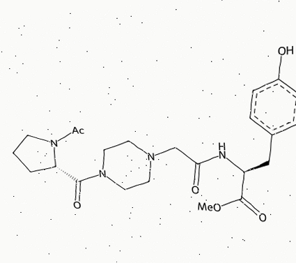 COC(=O)[C@H](Cc1ccc(O)cc1)NC(=O)CN1CCN(C(=O)[C@@H]2CCCN2C(C)=O)CC1